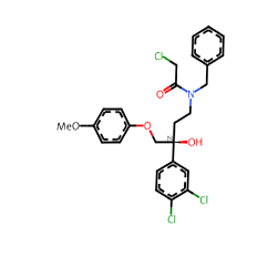 COc1ccc(OC[C@](O)(CCN(Cc2ccccc2)C(=O)CCl)c2ccc(Cl)c(Cl)c2)cc1